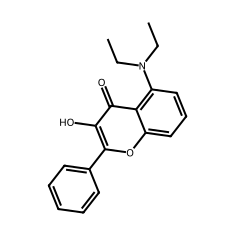 CCN(CC)c1cccc2oc(-c3ccccc3)c(O)c(=O)c12